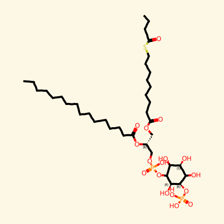 CCCCCCCCCCCCCCCC(=O)O[C@H](COC(=O)CCCCCCCCSC(=O)CCC)COP(=O)(O)OC1C(O)[C@@H](O)C(O)[C@@H](OP(=O)(O)O)[C@H]1O